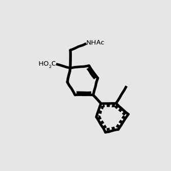 CC(=O)NCC1(C(=O)O)C=CC(c2ccccc2C)=CC1